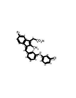 CC1=C(CC(=O)O)c2cc(F)ccc2/C1=C/c1cccc(Oc2cccc(Cl)c2)c1